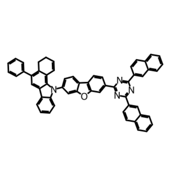 C1=Cc2c(c(-c3ccccc3)cc3c4ccccc4n(-c4ccc5c(c4)oc4cc(-c6nc(-c7ccc8ccccc8c7)nc(-c7ccc8ccccc8c7)n6)ccc45)c23)CC1